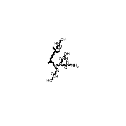 CCCC(CCCCCC1C(C)C1CCN(CCN(C)CCC(=O)NCCO)CCN(CCC(=O)NCCN)CCC(=O)NCCO)CCN(C)CCC(=O)NCCO